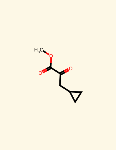 COC(=O)C(=O)CC1CC1